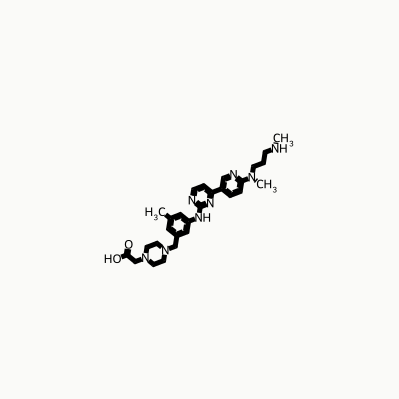 CNCCCN(C)c1ccc(-c2ccnc(Nc3cc(C)cc(CN4CCN(CC(=O)O)CC4)c3)n2)cn1